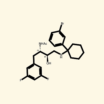 CC(=O)N[C@@H](Cc1cc(F)cc(F)c1)[C@H](O)CNC1(c2cccc(Br)c2)CCCCC1